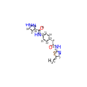 Cc1cnc(NC(=O)Cc2ccc(NC(=O)c3cc[nH]n3)cc2)s1